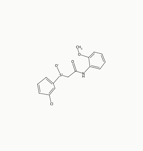 COc1ccccc1NC(=O)C[S+]([O-])c1cccc(Cl)c1